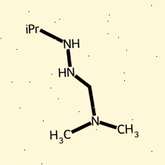 CC(C)NNCN(C)C